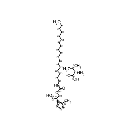 CC(C)[C@H](N)C(=O)O.CCCCCCCCCCCCCCCCCCNC(=O)OCC(CO)n1nnnc1C